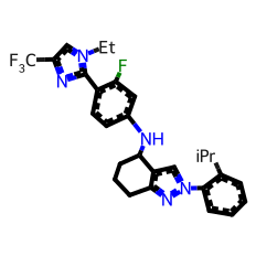 CCn1cc(C(F)(F)F)nc1-c1ccc(NC2CCCc3nn(-c4ccccc4C(C)C)cc32)cc1F